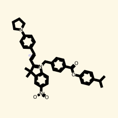 CC(C)c1ccc(OC(=O)c2ccc(C[N+]3=C(/C=C/c4ccc(N5CCCC5)cc4)C(C)(C)c4cc([N+](=O)[O-])ccc43)cc2)cc1